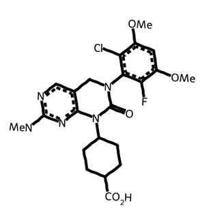 CNc1ncc2c(n1)N(C1CCC(C(=O)O)CC1)C(=O)N(c1c(F)c(OC)cc(OC)c1Cl)C2